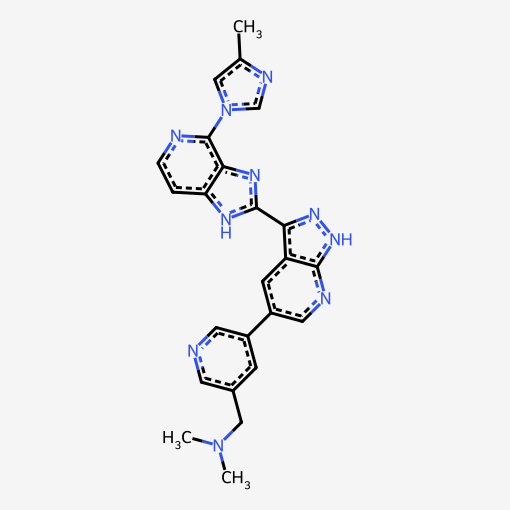 Cc1cn(-c2nccc3[nH]c(-c4n[nH]c5ncc(-c6cncc(CN(C)C)c6)cc45)nc23)cn1